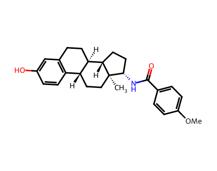 COc1ccc(C(=O)N[C@H]2CC[C@H]3[C@@H]4CCc5cc(O)ccc5[C@H]4CC[C@]23C)cc1